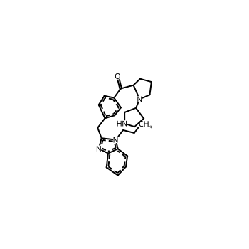 CCCn1c(Cc2ccc(C(=O)C3CCCN3C3CCNC3)cc2)nc2ccccc21